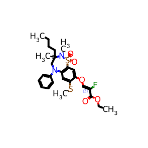 CCCC[C@@]1(C)CN(c2ccccc2)c2cc(SC)c(O/C=C(\F)C(=O)OCC)cc2S(=O)(=O)N1C